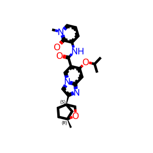 CC(C)Oc1cc2nc([C@]34CC[C@](C)(C3)OC4)cn2cc1C(=O)Nc1cccn(C)c1=O